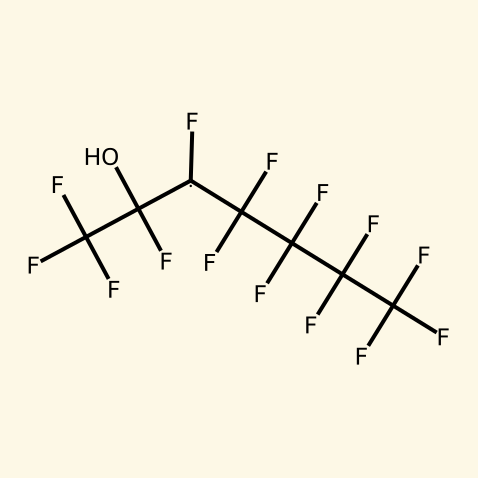 OC(F)([C](F)C(F)(F)C(F)(F)C(F)(F)C(F)(F)F)C(F)(F)F